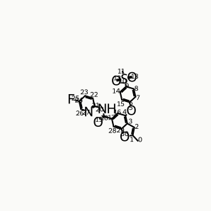 Cc1cc2c(Oc3ccc(S(C)(=O)=O)cc3)cc(C(=O)Nc3ccc(F)cn3)cc2o1